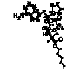 CCCCCOC(=O)C(C)(C)N[P@@](=O)(CO[C@H](C)Cn1cnc2c(N)ncnc21)O[C@@H](C)C(=O)OC1CCCC1